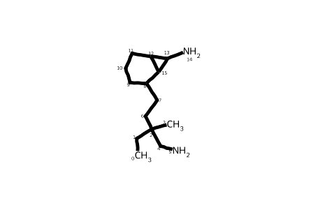 CCC(C)(CN)CCC1CCCC2C(N)C12